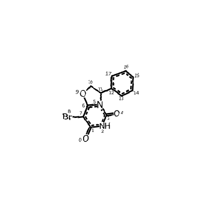 O=c1[nH]c(=O)n2c(c1Br)OCC2c1ccccc1